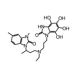 CCN(CCCn1c(=O)[nH]c2c(O)c(O)c(O)c(O)c21)CCC(C)n1c(=O)n(C)c2cc(C)ccc21